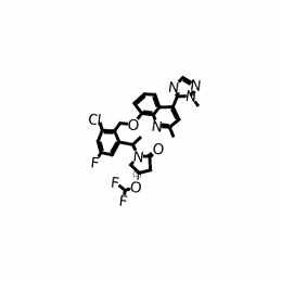 Cc1cc(-c2ncnn2C)c2cccc(OCc3c(Cl)cc(F)cc3C(C)N3C[C@@H](OC(F)F)CC3=O)c2n1